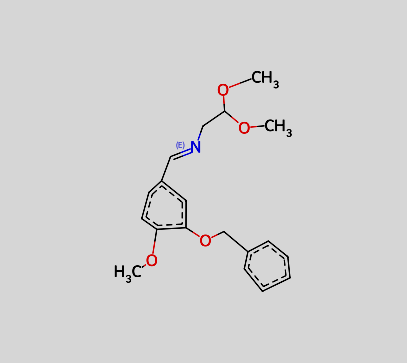 COc1ccc(/C=N/CC(OC)OC)cc1OCc1ccccc1